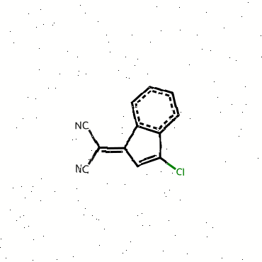 N#CC(C#N)=C1C=C(Cl)c2ccccc21